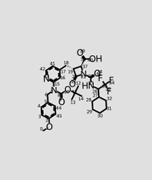 COc1ccc(CN(C(=O)OC(C)(C)C)c2cc(C[C@H]3C(=O)N(C(=O)NC(C4CCCCC4)C(F)(F)F)[C@@H]3C(=O)O)ccn2)cc1